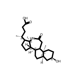 C[C@H](CCC(=O)O)C1CC[C@H]2[C@@H]3CC[C@@H]4C[C@H](O)CC[C@]4(C)C3CC(=O)N[C@]12C